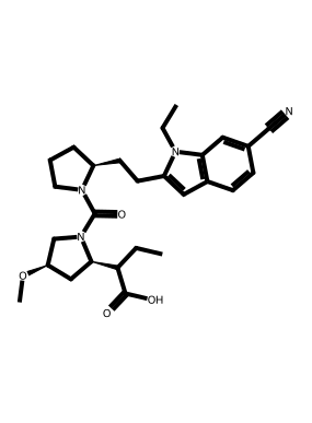 CCC(C(=O)O)[C@H]1C[C@@H](OC)CN1C(=O)N1CCC[C@H]1CCc1cc2ccc(C#N)cc2n1CC